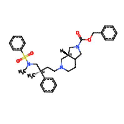 CN(C[C@@](C)(CCN1CCC2CN(C(=O)OCc3ccccc3)C[C@H]2C1)c1ccccc1)S(=O)(=O)c1ccccc1